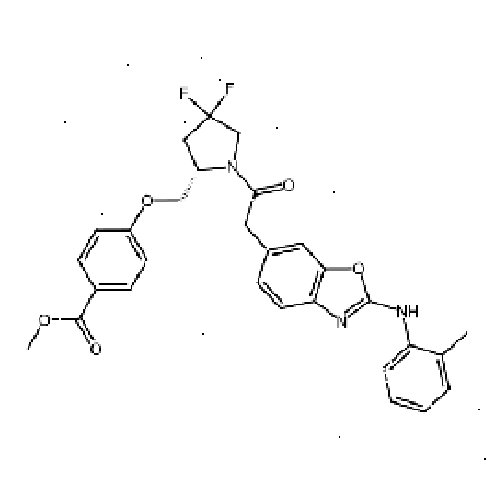 COC(=O)c1ccc(OC[C@@H]2CC(F)(F)CN2C(=O)Cc2ccc3nc(Nc4ccccc4C)oc3c2)cc1